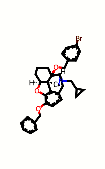 Brc1ccc(COC23CCC[C@@H]4Oc5c(OCc6ccccc6)ccc6c5[C@@]42CCN(CC2CC2)[C@@H]3C6)cc1